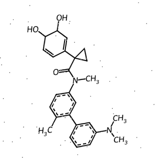 Cc1ccc(N(C)C(=O)C2(C3=CC(O)C(O)C=C3)CC2)cc1-c1cccc(N(C)C)c1